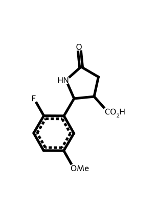 COc1ccc(F)c(C2NC(=O)CC2C(=O)O)c1